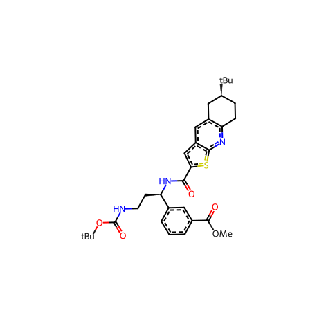 COC(=O)c1cccc([C@@H](CCNC(=O)OC(C)(C)C)NC(=O)c2cc3cc4c(nc3s2)CC[C@H](C(C)(C)C)C4)c1